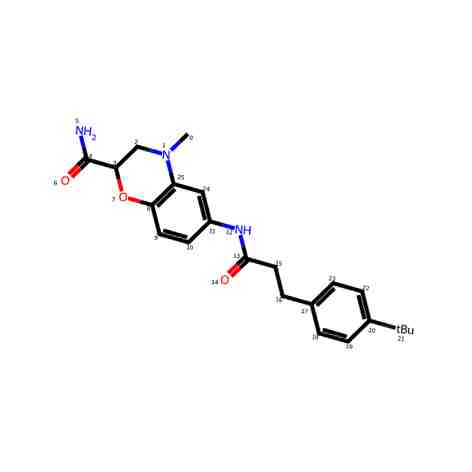 CN1CC(C(N)=O)Oc2ccc(NC(=O)CCc3ccc(C(C)(C)C)cc3)cc21